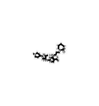 Cc1nn(C2CCN(C)CC2)cc1Nc1ncc(C(F)F)c(NCCCN2CCCCOC2=O)n1